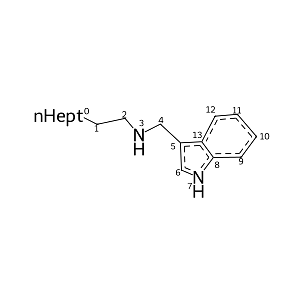 CCCCCCCCCNCc1c[nH]c2ccccc12